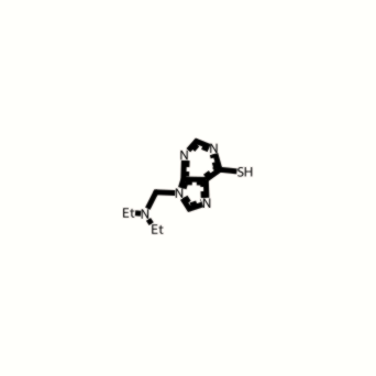 CCN(CC)Cn1cnc2c(S)ncnc21